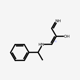 CC(N/C=C(/O)C=N)c1ccccc1